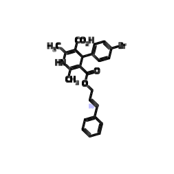 CC1=C(C(=O)O)C(c2ccc(Br)cc2)C(C(=O)OC/C=C/c2ccccc2)=C(C)N1